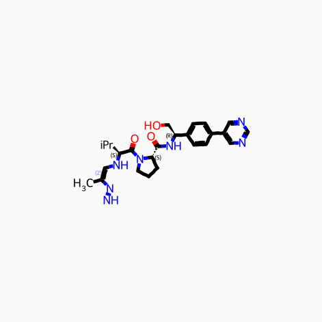 C/C(=C/N[C@H](C(=O)N1CCC[C@H]1C(=O)N[C@@H](CO)c1ccc(-c2cncnc2)cc1)C(C)C)N=N